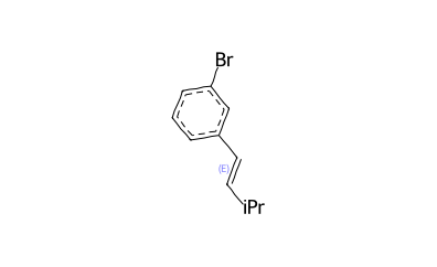 CC(C)/C=C/c1cccc(Br)c1